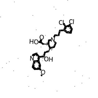 COc1ccc2nccc([C@@H](O)CC[C@@H]3CCN(CCCc4cccc(Cl)c4Cl)C[C@@H]3CC(=O)O)c2c1